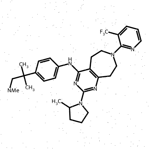 CNCC(C)(C)c1ccc(Nc2nc(N3CCCC3C)nc3c2CCN(c2ncccc2C(F)(F)F)CC3)cc1